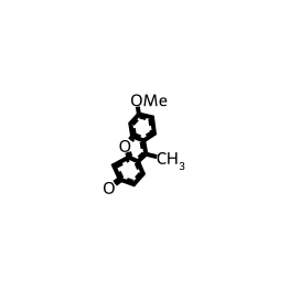 COc1ccc2c(C)c3ccc(=O)cc-3oc2c1